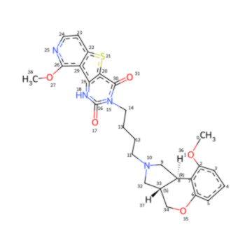 COc1cccc2c1[C@@H]1CN(CCCCn3c(=O)[nH]c4c(sc5ccnc(OC)c54)c3=O)C[C@H]1CO2